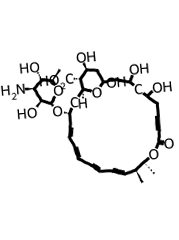 C[C@H]1/C=C/C=C/C=C/C=C/[C@H](O[C@@H]2O[C@H](C)[C@@H](O)[C@H](N)[C@@H]2O)C[C@@H]2O[C@](O)(CC(O)CC(O)C/C=C/C(=O)O[C@@H]1C)C[C@H](O)[C@H]2C(=O)O